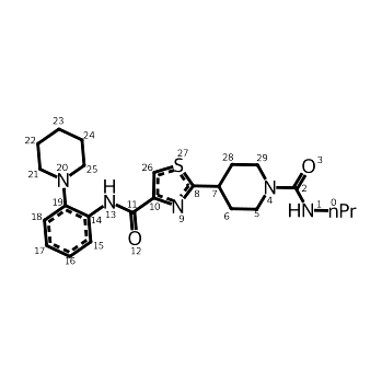 CCCNC(=O)N1CCC(c2nc(C(=O)Nc3ccccc3N3CCCCC3)cs2)CC1